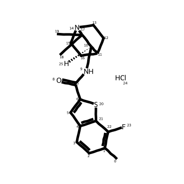 Cc1ccc2cc(C(=O)N[C@@H]3C4CCN(CC4)C3(C)C)sc2c1F.Cl